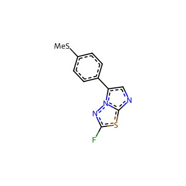 CSc1ccc(-c2cnc3sc(F)nn23)cc1